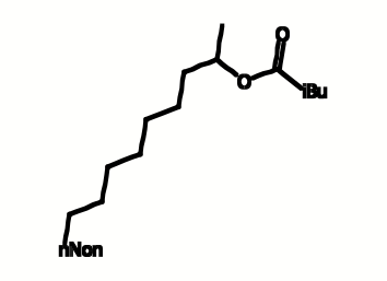 CCCCCCCCCCCCCCCCC(C)OC(=O)C(C)CC